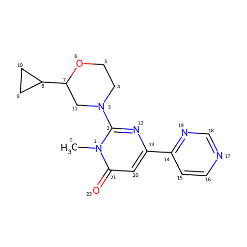 Cn1c(N2CCOC(C3CC3)C2)nc(-c2ccncn2)cc1=O